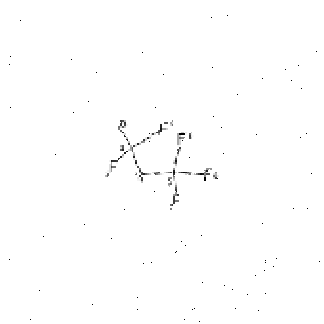 CC(F)(F)[CH]C(F)(F)F